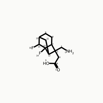 NCC1(CC(=O)O)C2CCC3CC1C2(F)C3F